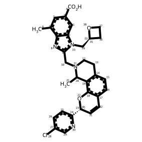 Cc1cc(C(=O)O)cc2c1nc(CN1CCc3ccc4c(c3C1C)O[C@@H](c1ccc(Cl)cn1)C=C4)n2C[C@@H]1CCO1